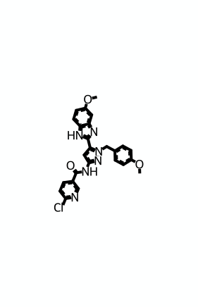 COc1ccc(Cn2nc(NC(=O)c3ccc(Cl)nc3)cc2-c2nc3cc(OC)ccc3[nH]2)cc1